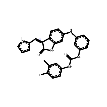 Cc1cc(NC(=O)Nc2cccc(Nc3ccc4c(c3)NC(=O)/C4=C\c3ccc[nH]3)c2)ccc1F